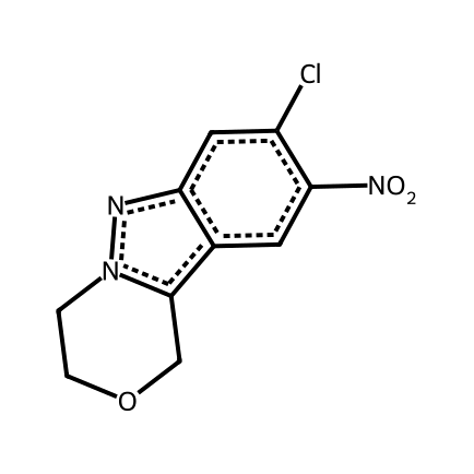 O=[N+]([O-])c1cc2c3n(nc2cc1Cl)CCOC3